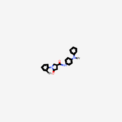 CC(C)c1ccccc1N1CC(C(=O)Nc2ccc(N(c3ccccc3)C(C)C)cc2)CC1=O